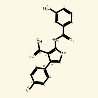 Cc1cccc(C(=O)Nc2scc(-c3ccc(Cl)cc3)c2C(=O)O)c1